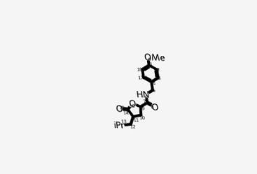 COc1ccc(CNC(=O)C2CC(CC(C)C)C(=O)O2)cc1